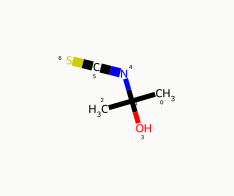 CC(C)(O)N=C=S